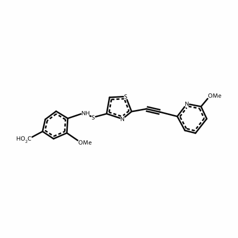 COc1cccc(C#Cc2nc(SNc3ccc(C(=O)O)cc3OC)cs2)n1